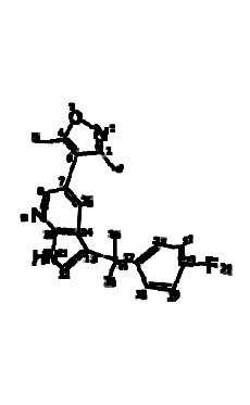 Cc1noc(C)c1-c1cnc2[nH]cc(C(C)(C)c3ccc(F)cc3)c2c1